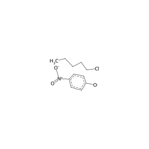 CCCCCCl.[O]c1ccc([N+](=O)[O-])cc1